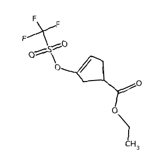 CCOC(=O)C1CC=C(OS(=O)(=O)C(F)(F)F)C1